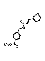 COC(=O)c1ccc(CNC(=O)C=Cc2cccnc2)cc1